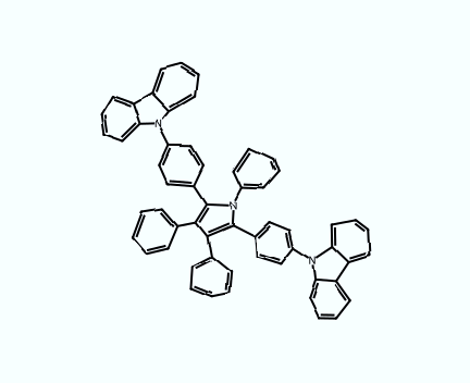 c1ccc(-c2c(-c3ccccc3)c(-c3ccc(-n4c5ccccc5c5ccccc54)cc3)n(-c3ccccc3)c2-c2ccc(-n3c4ccccc4c4ccccc43)cc2)cc1